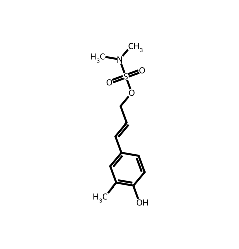 Cc1cc(C=CCOS(=O)(=O)N(C)C)ccc1O